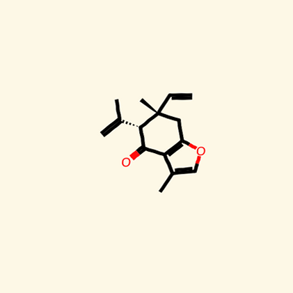 C=C[C@]1(C)Cc2occ(C)c2C(=O)[C@@H]1C(=C)C